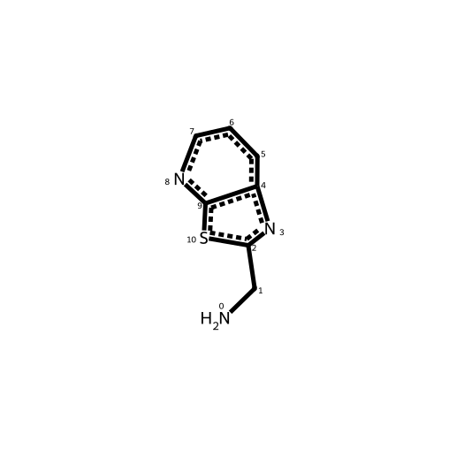 NCc1nc2cccnc2s1